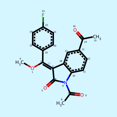 CO/C(=C1\C(=O)N(C(C)=O)c2ccc(C(C)=O)cc21)c1ccc(F)cc1